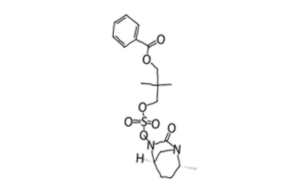 C[C@@H]1CC[C@@H]2CN1C(=O)N2OS(=O)(=O)OCC(C)(C)COC(=O)c1ccccc1